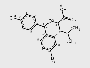 CC(C)CC(O[C@H](c1ccc(Cl)cc1)c1ccc(Br)cc1)C(=O)O